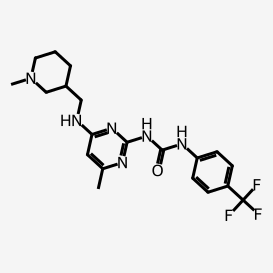 Cc1cc(NCC2CCCN(C)C2)nc(NC(=O)Nc2ccc(C(F)(F)F)cc2)n1